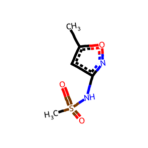 Cc1cc(NS(C)(=O)=O)no1